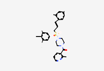 Cc1c(C(=O)O)cccc1C(=O)O.Cc1cc(C(F)(F)F)ccc1C=CCS(=O)(=O)N1CCN(C(=O)c2cccnc2C)CC1.Cl